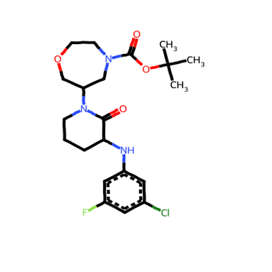 CC(C)(C)OC(=O)N1CCOCC(N2CCCC(Nc3cc(F)cc(Cl)c3)C2=O)C1